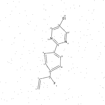 C=CC(F)c1ccc(-c2ncc(CC)cn2)cc1